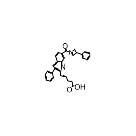 O=C(O)CCCCc1nc2cc(C(=O)N3CC(c4ccccc4)C3)ccc2cc1-c1ccccc1